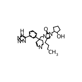 CCCCc1cn(C2CCCC2O)c(=O)n1CC1(c2cccc(-c3nnn[nH]3)c2)C=CN=CC1